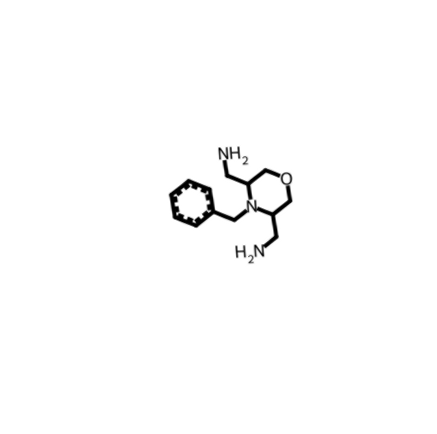 NCC1COCC(CN)N1Cc1ccccc1